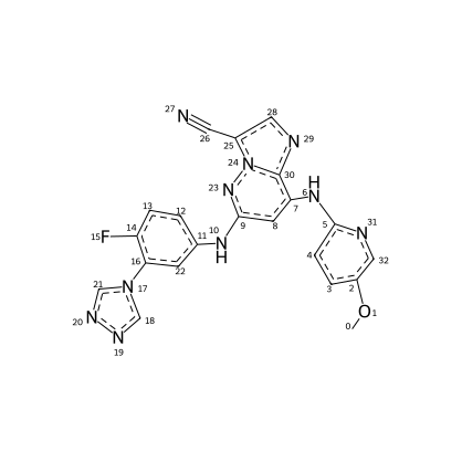 COc1ccc(Nc2cc(Nc3ccc(F)c(-n4cnnc4)c3)nn3c(C#N)cnc23)nc1